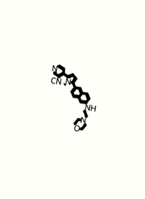 Cn1c(-c2ccc3cc(NCCN4CCOCC4)ccc3c2)ccc1-c1ccncc1C#N